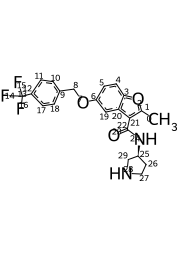 Cc1oc2ccc(OCc3ccc(C(F)(F)F)cc3)cc2c1C(=O)N[C@H]1CCNC1